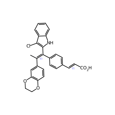 C/C(=C(/c1ccc(/C=C/C(=O)O)cc1)c1[nH]c2ccccc2c1Cl)c1ccc2c(c1)OCCO2